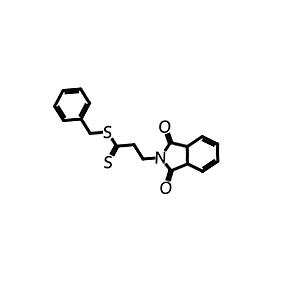 O=C1C2C=CC=CC2C(=O)N1CCC(=S)SCc1ccccc1